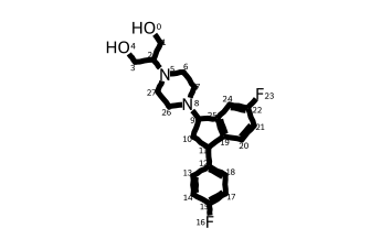 OCC(CO)N1CCN(C2CC(c3ccc(F)cc3)c3ccc(F)cc32)CC1